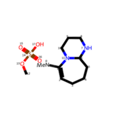 CNC1=CCCCC2NCCCN12.COS(=O)(=O)O